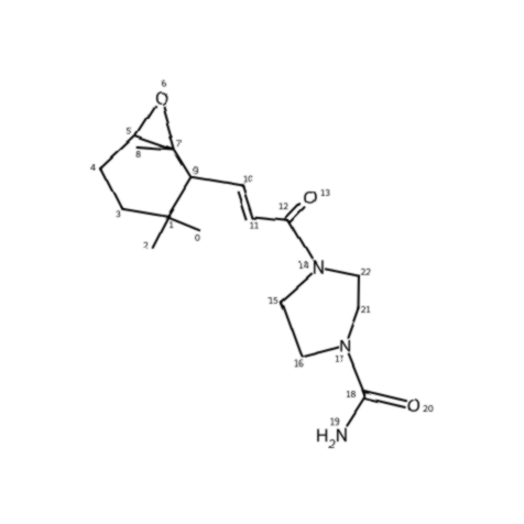 CC1(C)CCC2OC2(C)C1C=CC(=O)N1CCN(C(N)=O)CC1